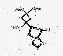 COC1(OC)CC(C(=O)O)(c2cc(Cl)c3nccn3c2)C1